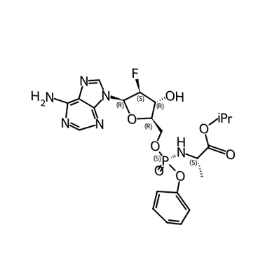 CC(C)OC(=O)[C@H](C)N[P@](=O)(OC[C@H]1O[C@@H](n2cnc3c(N)ncnc32)[C@@H](F)[C@@H]1O)Oc1ccccc1